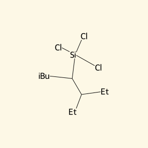 CCC(C)C(C(CC)CC)[Si](Cl)(Cl)Cl